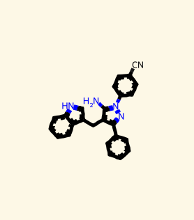 N#Cc1ccc(-n2nc(-c3ccccc3)c(Cc3c[nH]c4ccccc34)c2N)cc1